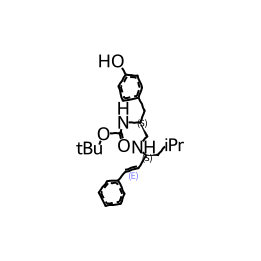 CC(C)C[C@@H](/C=C/c1ccccc1)NC[C@H](Cc1ccc(O)cc1)NC(=O)OC(C)(C)C